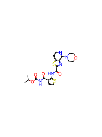 CC(C)OC(=O)NC(=O)c1ccsc1NC(=O)c1nc2c(N3CCOCC3)nccc2s1